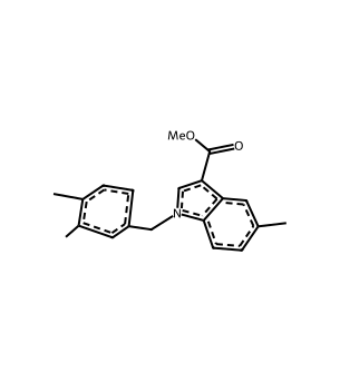 COC(=O)c1cn(Cc2ccc(C)c(C)c2)c2ccc(C)cc12